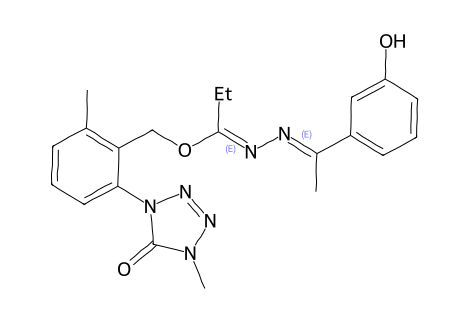 CC/C(=N\N=C(/C)c1cccc(O)c1)OCc1c(C)cccc1-n1nnn(C)c1=O